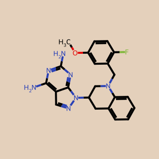 COc1ccc(F)c(CN2CC(n3ncc4c(N)nc(N)nc43)Cc3ccccc32)c1